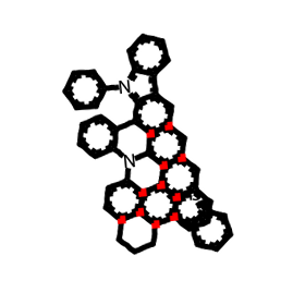 c1ccc(-n2c3ccccc3c3cccc(-c4ccccc4N(c4ccccc4-c4cccc5c4sc4ccccc45)c4ccccc4-c4cccc5cccc(C6CCCCC6)c45)c32)cc1